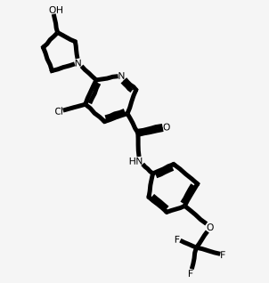 O=C(Nc1ccc(OC(F)(F)F)cc1)c1cnc(N2CCC(O)C2)c(Cl)c1